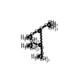 CC1(C)CC(OCCCOc2cc(CCCCCCCc3cc(OCCCOC4CC(C)(C)NC(C)(C)C4)cc(OCCCOC4CC(C)(C)NC(C)(C)C4)c3)cc(OCCCOC3CC(C)(C)NC(C)(C)C3)c2)CC(C)(C)N1